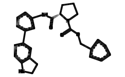 O=C(Nc1cccc(-c2ccc3c(c2)CCN3)c1)[C@@H]1CCCN1C(=O)OCc1ccccc1